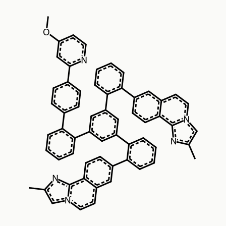 COc1ccnc(-c2ccc(-c3ccccc3-c3cc(-c4ccccc4-c4ccc5c(ccn6cc(C)nc56)c4)cc(-c4ccccc4-c4ccc5c(ccn6cc(C)nc56)c4)c3)cc2)c1